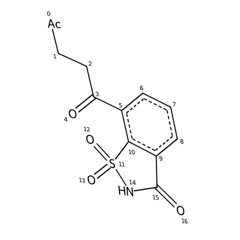 CC(=O)CCC(=O)c1cccc2c1S(=O)(=O)NC2=O